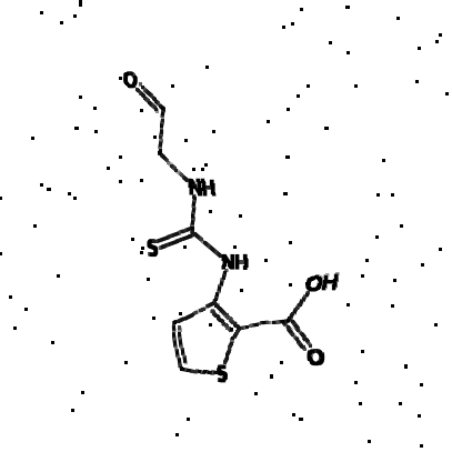 O=CCNC(=S)Nc1ccsc1C(=O)O